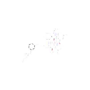 CCCNCc1cccc(CSCCNC(=O)[C@@H](NC(=O)[C@H](CC(C)C)NC(=O)C2(NC=O)CCOCC2)[C@@H](C)CC)c1